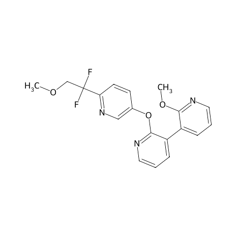 COCC(F)(F)c1ccc(Oc2ncccc2-c2cccnc2OC)cn1